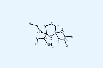 CCOC1(C(N)CC)CCC[Si](OCC)(OCC)O1